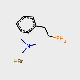 Br.CN(C)C.PCCc1ccccc1